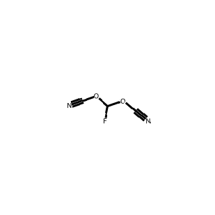 N#CO[C](F)OC#N